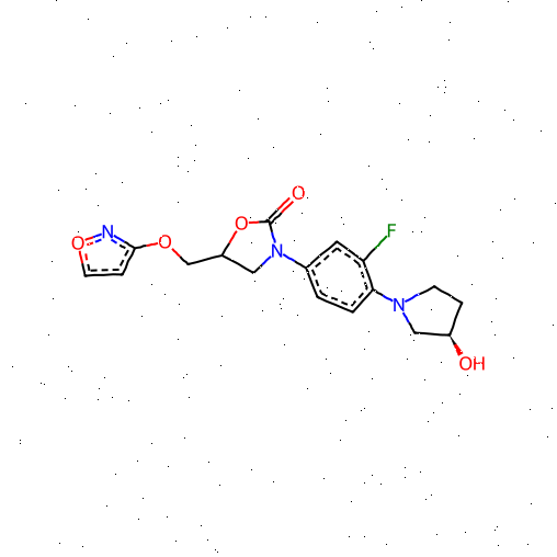 O=C1OC(COc2ccon2)CN1c1ccc(N2CC[C@@H](O)C2)c(F)c1